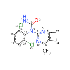 NC(=O)N(c1nc2c(c(C(F)(F)F)n1)CC2)c1c(Cl)cccc1Cl